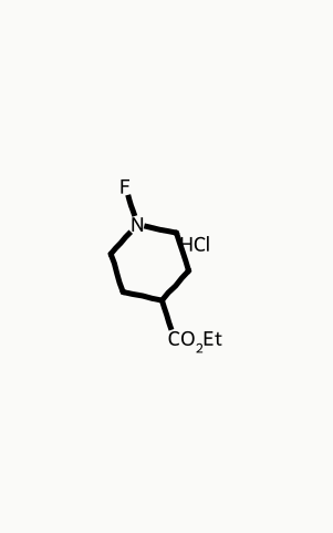 CCOC(=O)C1CCN(F)CC1.Cl